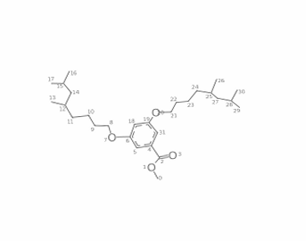 COC(=O)c1cc(OCCCCC(C)CC(C)C)cc(OCCCCC(C)CC(C)C)c1